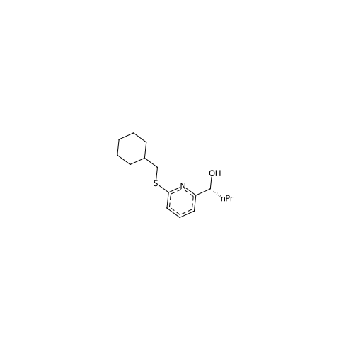 CCC[C@@H](O)c1cccc(SCC2CCCCC2)n1